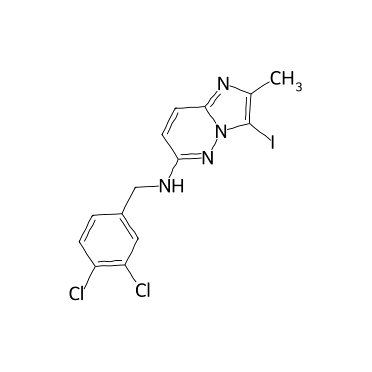 Cc1nc2ccc(NCc3ccc(Cl)c(Cl)c3)nn2c1I